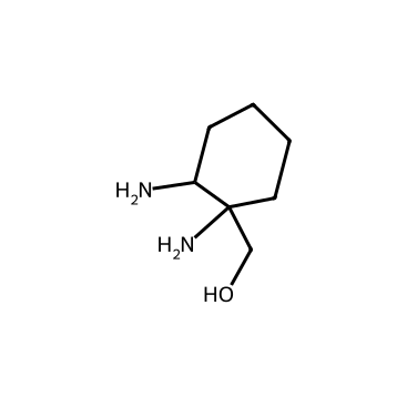 NC1CCCCC1(N)CO